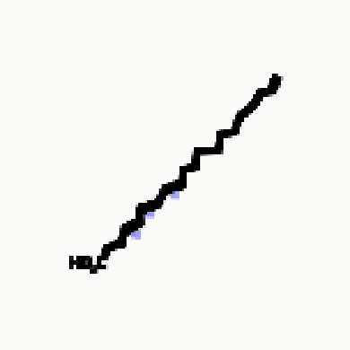 C=CCCCCCCCCC/C=C/C=C/C=C/CCC(=O)O